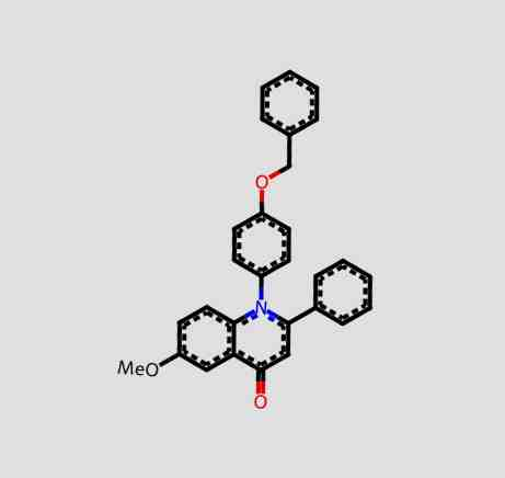 COc1ccc2c(c1)c(=O)cc(-c1ccccc1)n2-c1ccc(OCc2ccccc2)cc1